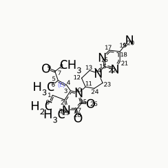 C=Cc1c(/C=C(\C)C(C)=O)n(C2CCN(c3ncc(C#N)cn3)CC2)c(=O)c(=O)n1C